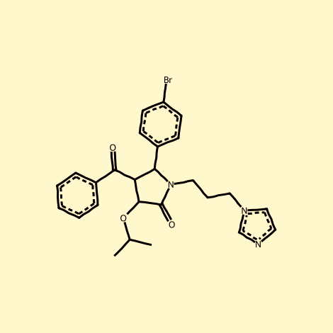 CC(C)OC1C(=O)N(CCCn2ccnc2)C(c2ccc(Br)cc2)C1C(=O)c1ccccc1